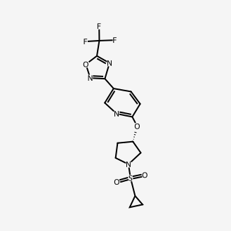 O=S(=O)(C1CC1)N1CC[C@H](Oc2ccc(-c3noc(C(F)(F)F)n3)cn2)C1